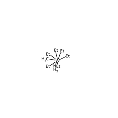 C[CH2][W]([CH3])([NH2])([CH2]C)([CH2]C)([CH2]C)([CH2]C)[CH2]C